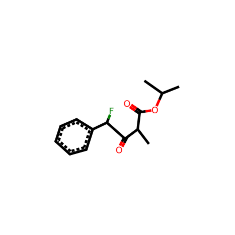 CC(C)OC(=O)C(C)C(=O)C(F)c1ccccc1